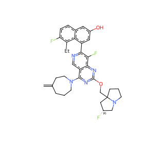 C=C1CCCN(c2nc(OCC34CCCN3C[C@H](F)C4)nc3c(F)c(-c4cc(O)cc5ccc(F)c(CC)c45)ncc23)CC1